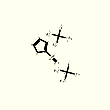 CC(C)(C)[O-].CC(C)(C)[O-].[O]=[V+2][C]1=CC=CC1